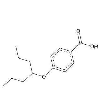 CCCC(CCC)Oc1ccc(C(=O)O)cc1